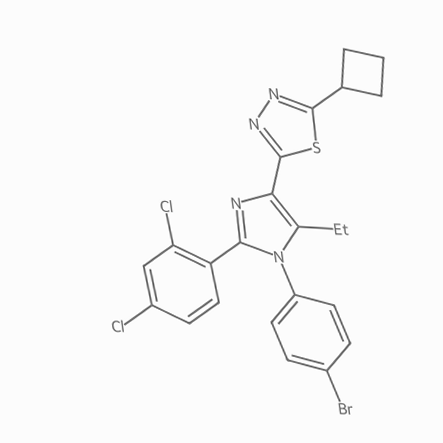 CCc1c(-c2nnc(C3CCC3)s2)nc(-c2ccc(Cl)cc2Cl)n1-c1ccc(Br)cc1